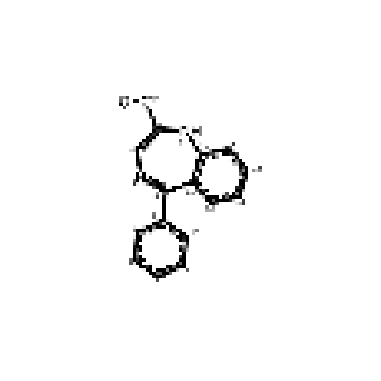 O=CC1=CN=C(c2ccccc2)c2ccccc2N1